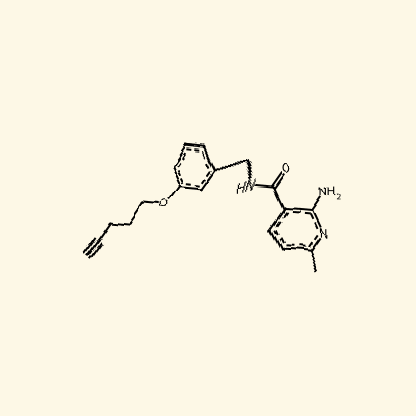 C#CCCCOc1cccc(CNC(=O)c2ccc(C)nc2N)c1